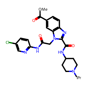 COC(=O)c1ccc2nc(C(=O)NC3CCN(C(C)C)CC3)n(CC(=O)Nc3ccc(Cl)cn3)c2c1